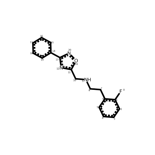 Fc1ccccc1CCNCc1nc(-c2ccccc2)no1